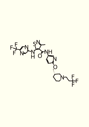 Cc1nsc(Nc2cnc(C(F)(F)F)cn2)c1C(=O)Nc1ccc(OC[C@H]2CCCN(CCC(F)(F)F)C2)nc1